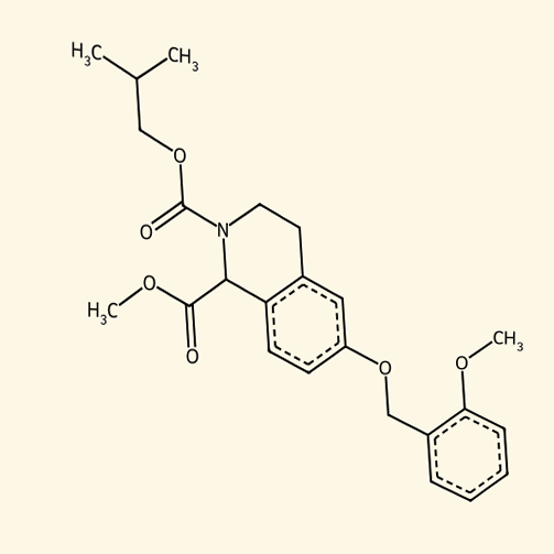 COC(=O)C1c2ccc(OCc3ccccc3OC)cc2CCN1C(=O)OCC(C)C